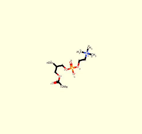 CCCCCCCCCCC(COC(=O)OC)COP(=O)([O-])OCC[N+](C)(C)C